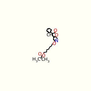 Cc1ccccc1-c1cc2cc(OCCCCCCCOC(=O)C(C)C)ncc2oc1=O